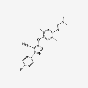 Cc1cc(Oc2snc(-c3ccc(F)cc3)c2C#N)c(C)cc1N=CN(C)C